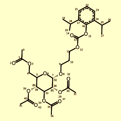 CC(=O)OCC1O[C@H](OCCCOC(=O)Oc2c(C(C)C)cccc2C(C)C)[C@H](OC(C)=O)C(OC(C)=O)[C@@H]1OC(C)=O